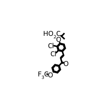 CC(C)(Oc1ccc(C=CC(=O)c2ccc(OC(F)(F)F)cc2)c(Cl)c1Cl)C(=O)O